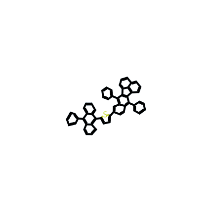 c1ccc(-c2c3c(c(-c4ccccc4)c4cc(-c5ccc(-c6c7ccccc7c(-c7ccccc7)c7ccccc67)s5)ccc24)-c2cccc4cccc-3c24)cc1